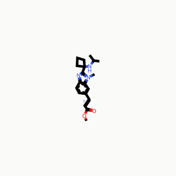 COC(=O)/C=C/c1ccc2nc(C3(NC(C)C)CCC3)n(C)c2c1